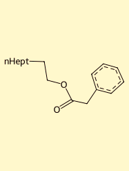 CCCCCCCCCOC(=O)Cc1ccccc1